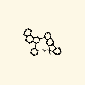 CC1(C)c2ccccc2-c2cc3cccc(-c4nc(-c5ccccc5)c5ccc6ccccc6c5n4)c3cc21